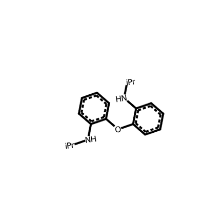 CC(C)Nc1ccccc1Oc1ccccc1NC(C)C